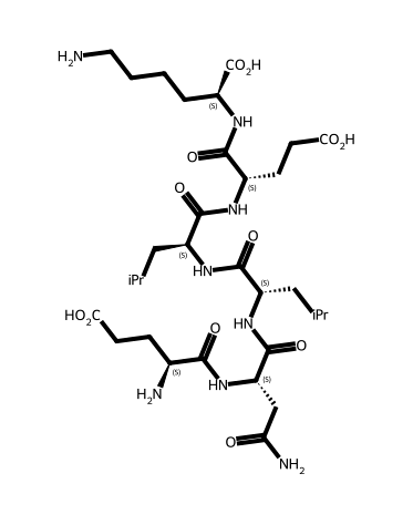 CC(C)C[C@H](NC(=O)[C@H](CC(C)C)NC(=O)[C@H](CC(N)=O)NC(=O)[C@@H](N)CCC(=O)O)C(=O)N[C@@H](CCC(=O)O)C(=O)N[C@@H](CCCCN)C(=O)O